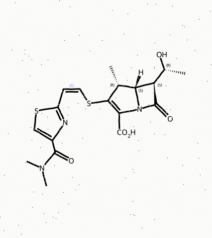 C[C@@H](O)[C@H]1C(=O)N2C(C(=O)O)=C(S/C=C\c3nc(C(=O)N(C)C)cs3)[C@H](C)[C@H]12